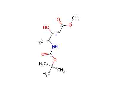 COC(=O)/C=C(\O)C(C)NC(=O)OC(C)(C)C